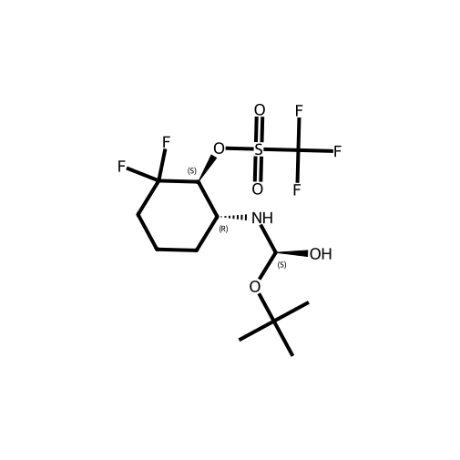 CC(C)(C)O[C@H](O)N[C@@H]1CCCC(F)(F)[C@H]1OS(=O)(=O)C(F)(F)F